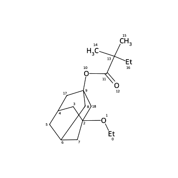 CCOC12CC3CC(C1)CC(OC(=O)C(C)(C)CC)(C3)C2